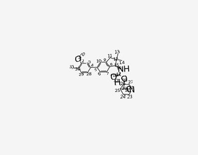 COc1cc(-c2ccc3c(c2)CC(C)(C)C3NC(=O)O[C@H]2CN3CCC2CC3)ccc1C